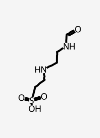 O=CNCCNCCS(=O)(=O)O